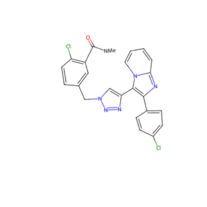 CNC(=O)c1cc(Cn2cc(-c3c(-c4ccc(Cl)cc4)nc4ccccn34)nn2)ccc1Cl